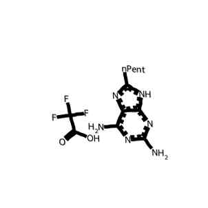 CCCCCc1nc2c(N)nc(N)nc2[nH]1.O=C(O)C(F)(F)F